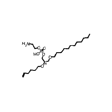 C=CCCCCO[C@H](COCCCCCCCCCCCC)CO[P@](=O)(O)OCCN